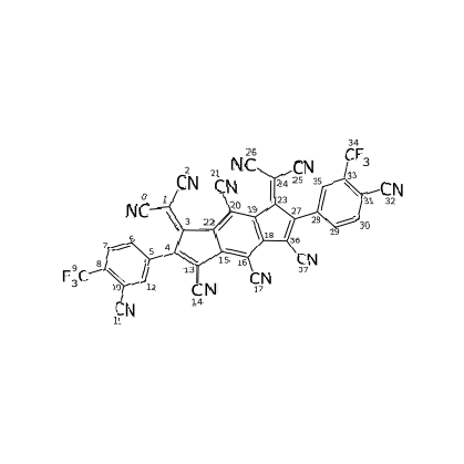 N#CC(C#N)=C1C(c2ccc(C(F)(F)F)c(C#N)c2)=C(C#N)c2c(C#N)c3c(c(C#N)c21)C(=C(C#N)C#N)C(c1ccc(C#N)c(C(F)(F)F)c1)=C3C#N